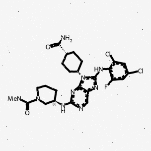 CNC(=O)N1CCC[C@@H](Nc2ncc3nc(Nc4c(F)cc(Cl)cc4Cl)n([C@H]4CC[C@@H](C(N)=O)CC4)c3n2)C1